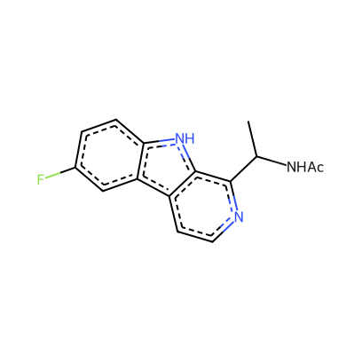 CC(=O)NC(C)c1nccc2c1[nH]c1ccc(F)cc12